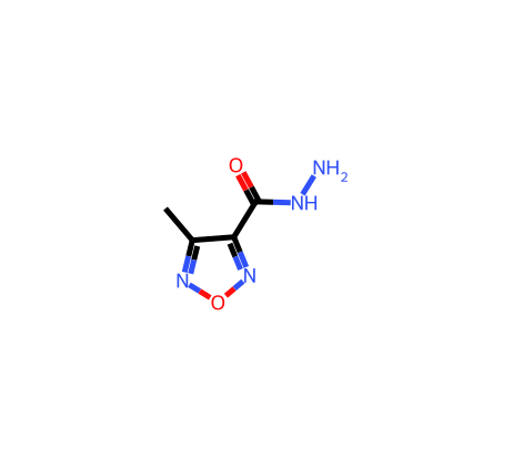 Cc1nonc1C(=O)NN